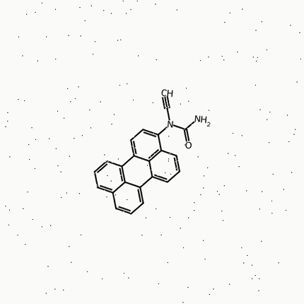 C#CN(C(N)=O)c1ccc2c3cccc4cccc(c5cccc1c52)c43